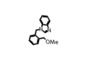 COCc1ccccc1Cn1cnc2ccccc21